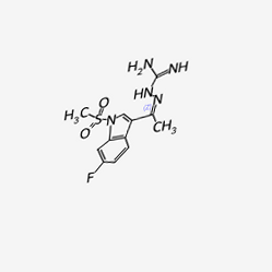 C/C(=N/NC(=N)N)c1cn(S(C)(=O)=O)c2cc(F)ccc12